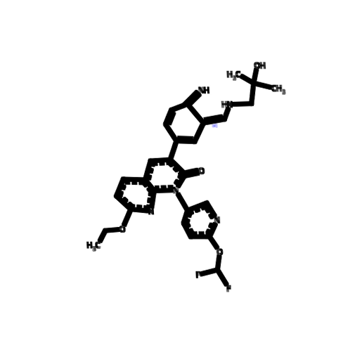 CCOc1ccc2cc(C3=C/C(=C/NCC(C)(C)O)C(=N)C=C3)c(=O)n(-c3ccc(OC(F)F)nc3)c2n1